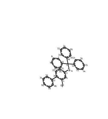 Fc1cc(SC(c2ccccc2)(c2ccccc2)c2ccccc2)ccc1-c1ccccc1